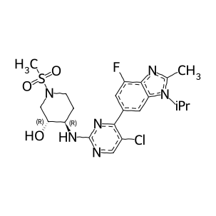 Cc1nc2c(F)cc(-c3nc(N[C@@H]4CCN(S(C)(=O)=O)C[C@H]4O)ncc3Cl)cc2n1C(C)C